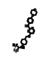 CC(NN1CCC(COc2ccnc(Nc3ccc(N4CCOCC4)cc3)n2)CC1)C(F)(F)F